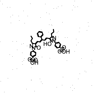 CCCC1=NN(c2ccc(S(=O)(=O)O)cc2)C(=O)C1=CC=C(C=Cc1c(CCC)nn(-c2ccc(S(=O)(=O)O)cc2)c1O)c1ccccc1